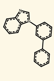 c1ccc(-c2cccc(-n3cnc4ccccc43)c2)cc1